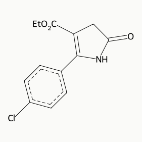 CCOC(=O)C1=C(c2ccc(Cl)cc2)NC(=O)C1